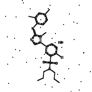 Br.CCCN(CCC)S(=O)(=O)c1cc(-c2csc(=Nc3ccc(C)cc3C)n2C)ccc1Cl